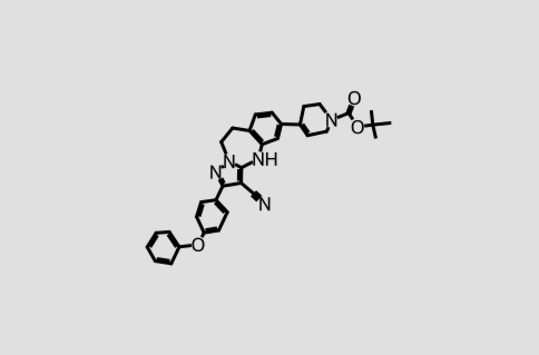 CC(C)(C)OC(=O)N1CC=C(c2ccc3c(c2)Nc2c(C#N)c(-c4ccc(Oc5ccccc5)cc4)nn2CC3)CC1